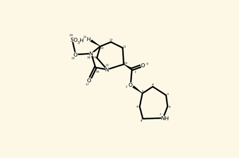 O=C(O[C@H]1CCCNCC1)[C@@H]1CC[C@@H]2CN1C(=O)N2OS(=O)(=O)O